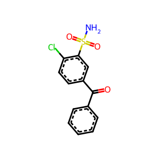 NS(=O)(=O)c1cc(C(=O)c2ccccc2)ccc1Cl